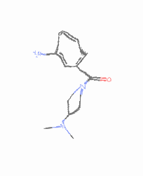 CN(C)C1CN(C(=O)c2cccc(N)c2)C1